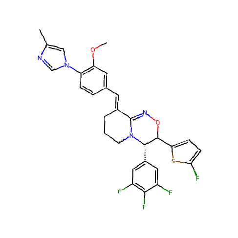 COc1cc(/C=C2\CCCN3C2=NOC(c2ccc(F)s2)[C@@H]3c2cc(F)c(F)c(F)c2)ccc1-n1cnc(C)c1